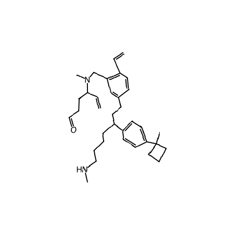 C=Cc1ccc(CCC(CCCCNC)c2ccc(C3(C)CCC3)cc2)cc1CN(C)C(C=C)CCC=O